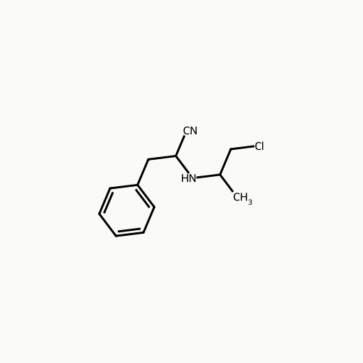 CC(CCl)NC(C#N)Cc1ccccc1